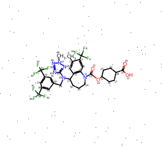 Cc1cc2c(cc1C(F)(F)F)N(C(=O)OC1CCC(C(=O)O)CC1)CCCC2N(Cc1cc(C(F)(F)F)cc(C(F)(F)F)c1)c1nnn(C)n1